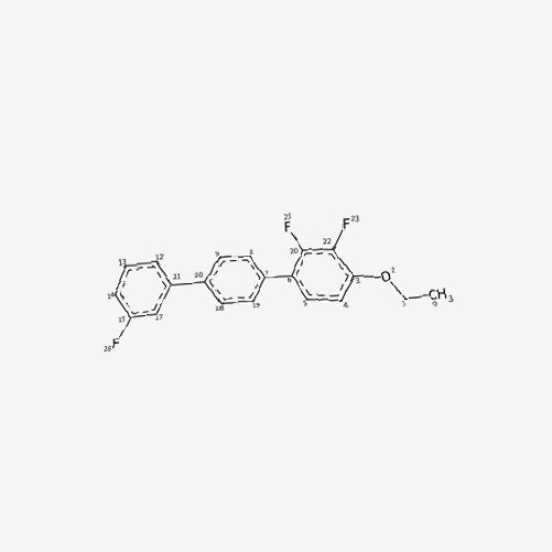 CCOc1ccc(-c2ccc(-c3cccc(F)c3)cc2)c(F)c1F